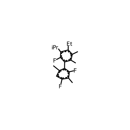 CCc1c(C)c(C)c(-c2c(C)cc(F)c(C)c2F)c(F)c1C(C)C